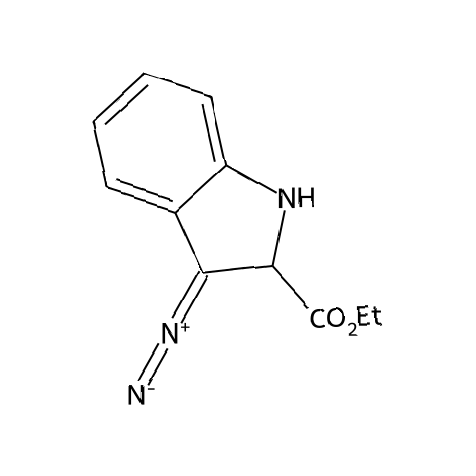 CCOC(=O)C1Nc2ccccc2C1=[N+]=[N-]